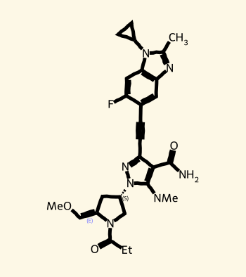 CCC(=O)N1C[C@@H](n2nc(C#Cc3cc4nc(C)n(C5CC5)c4cc3F)c(C(N)=O)c2NC)C/C1=C\OC